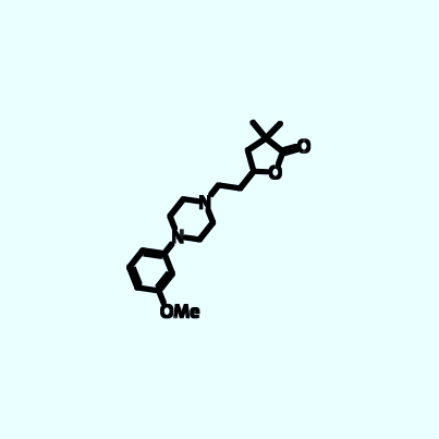 COc1cccc(N2CCN(CCC3CC(C)(C)C(=O)O3)CC2)c1